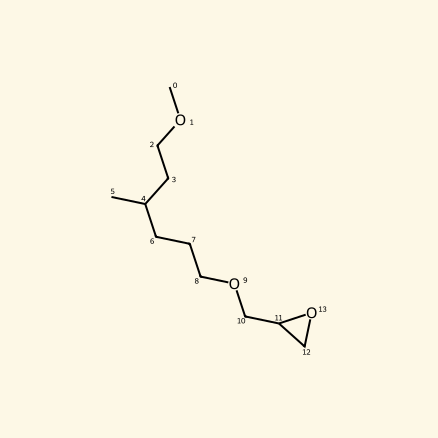 COCCC(C)CCCOCC1CO1